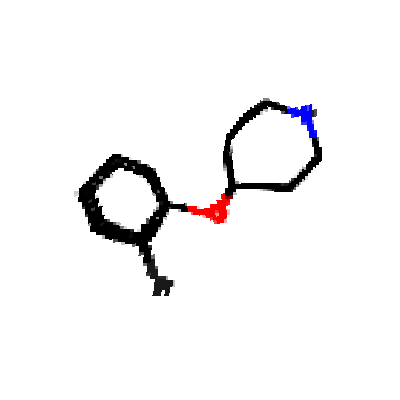 CC(C)c1ccccc1OC1CC[N]CC1